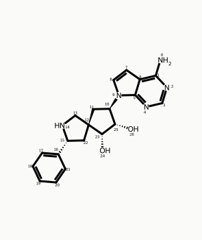 Nc1ncnc2c1ccn2[C@@H]1C[C@@]2(CN[C@@H](c3ccccc3)C2)[C@@H](O)[C@H]1O